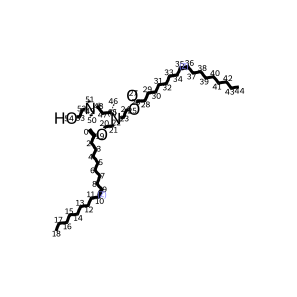 C=C(CCCCCCC/C=C\CCCCCCCC)OCCN(CCOC(=O)CCCCCCC/C=C\CCCCCCCC)[C@@H](C)CC[N+](C)(C)CCO